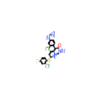 CN(C)/C=N\c1ccc(C2=C3C=CC(Sc4ccc(F)cc4Cl)=NN3CNC2=O)c(Cl)c1